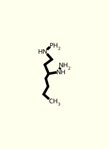 CCCCC(CCNP)NN